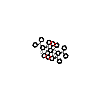 c1ccc(-c2c3c(c(-c4ccccc4)c4c2B2c5ccccc5N(c5ccccc5)c5cc(N(c6ccccc6)c6ccccc6)cc(c52)N4c2ccccc2)N(c2ccccc2)c2cc(N(c4ccccc4)c4ccccc4)cc4c2B3c2ccccc2O4)cc1